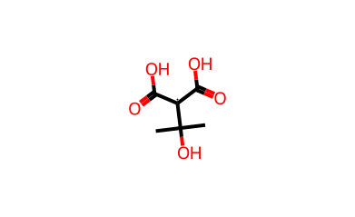 CC(C)(O)[C](C(=O)O)C(=O)O